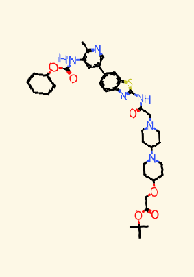 Cc1ncc(-c2ccc3nc(NC(=O)CN4CCC(N5CCC(OCC(=O)OC(C)(C)C)CC5)CC4)sc3c2)cc1NC(=O)OC1CCCCC1